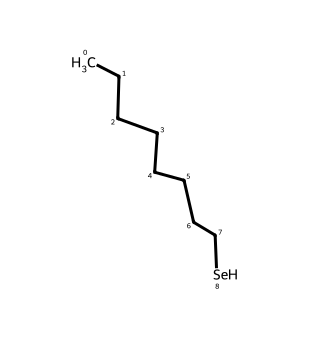 CCCCCCCC[SeH]